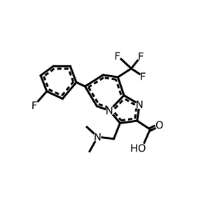 CN(C)Cc1c(C(=O)O)nc2c(C(F)(F)F)cc(-c3cccc(F)c3)cn12